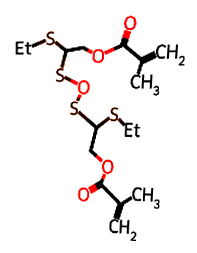 C=C(C)C(=O)OCC(SCC)SOSC(COC(=O)C(=C)C)SCC